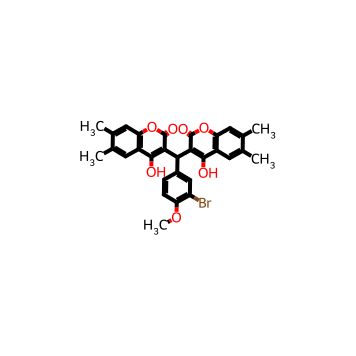 COc1ccc(C(c2c(O)c3cc(C)c(C)cc3oc2=O)c2c(O)c3cc(C)c(C)cc3oc2=O)cc1Br